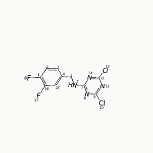 Fc1ccc(CNc2nc(Cl)nc(Cl)n2)cc1F